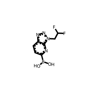 OB(O)c1ccc2nnn(CC(F)F)c2n1